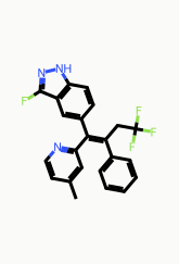 Cc1ccnc(/C(=C(/CC(F)(F)F)c2ccccc2)c2ccc3[nH]nc(F)c3c2)c1